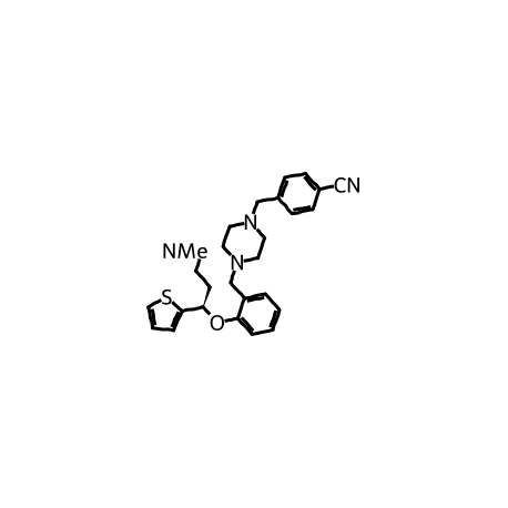 CNCC[C@@H](Oc1ccccc1CN1CCN(Cc2ccc(C#N)cc2)CC1)c1cccs1